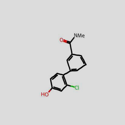 CNC(=O)c1cccc(-c2ccc(O)cc2Cl)c1